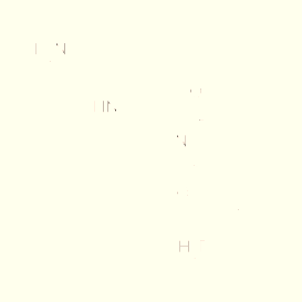 CC(C)(CP)CC1CC(=O)N(CCNCCN)C1=O